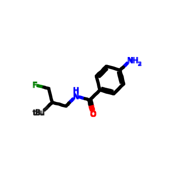 CC(C)(C)C(CF)CNC(=O)c1ccc(N)cc1